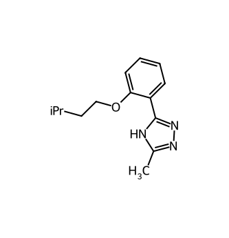 Cc1nnc(-c2ccccc2OCCC(C)C)[nH]1